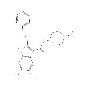 CC(C)N1CCC(NC(=O)c2c(CSc3ccccc3)n(C)c3cc(Br)c(O)cc23)CC1.Cl